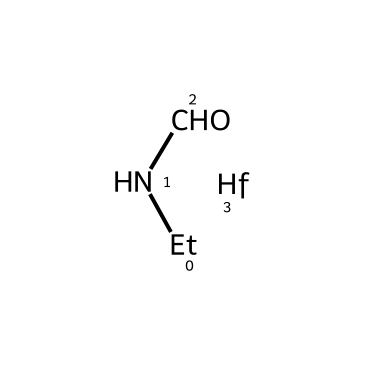 CCNC=O.[Hf]